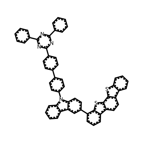 c1ccc(-c2nc(-c3ccccc3)nc(-c3ccc(-c4ccc(-n5c6ccccc6c6cc(-c7cccc8c7sc7c8ccc8c9ccccc9sc87)ccc65)cc4)cc3)n2)cc1